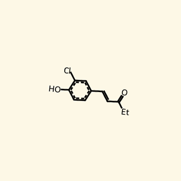 CCC(=O)C=Cc1ccc(O)c(Cl)c1